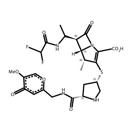 COc1coc(CNC(=O)[C@@H]2C[C@H](SC3=C(C(=O)O)N4C(=O)[C@H](C(C)NC(=O)C(F)F)[C@H]4[C@H]3C)CN2)cc1=O